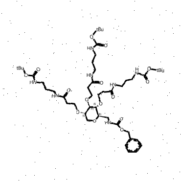 CC(C)(C)OC(=O)NCCCNC(=O)CCO[C@H]1[C@H](OCCC(=O)NCCCNC(=O)OC(C)(C)C)[C@@H](CNC(=O)OCc2ccccc2)OC[C@@H]1OCCC(=O)NCCCNC(=O)OC(C)(C)C